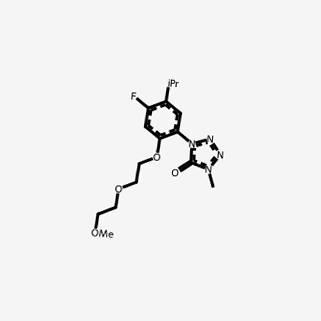 COCCOCCOc1cc(F)c(C(C)C)cc1-n1nnn(C)c1=O